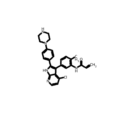 C=CC(=O)Nc1cc(-c2c(-c3ccc(N4CCNCC4)cc3)[nH]c3nccc(Cl)c23)ccc1C